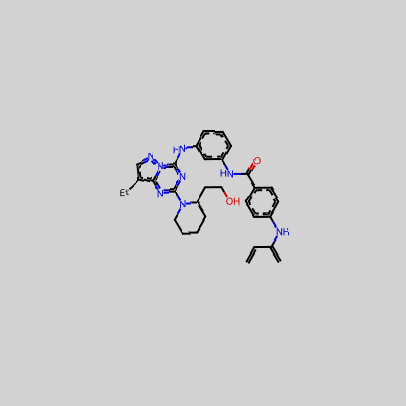 C=CC(=C)Nc1ccc(C(=O)Nc2cccc(Nc3nc(N4CCCCC4CCO)nc4c(CC)cnn34)c2)cc1